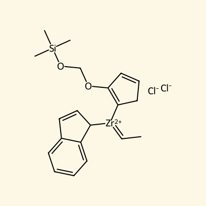 C[CH]=[Zr+2]([C]1=C(OCO[Si](C)(C)C)C=CC1)[CH]1C=Cc2ccccc21.[Cl-].[Cl-]